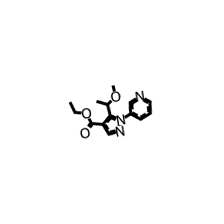 CCOC(=O)c1cnn(-c2cccnc2)c1C(C)OC